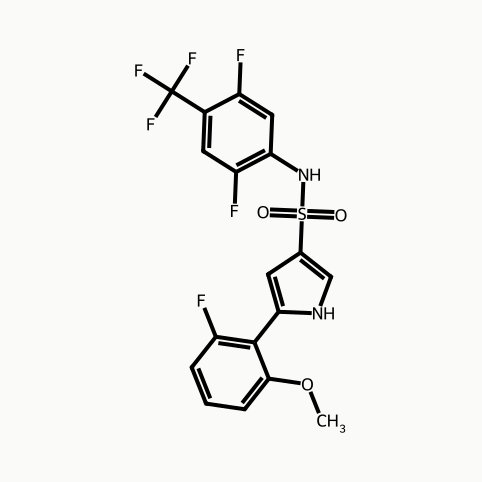 COc1cccc(F)c1-c1cc(S(=O)(=O)Nc2cc(F)c(C(F)(F)F)cc2F)c[nH]1